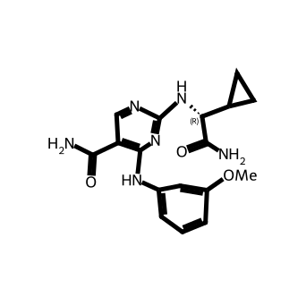 COc1cccc(Nc2nc(N[C@@H](C(N)=O)C3CC3)ncc2C(N)=O)c1